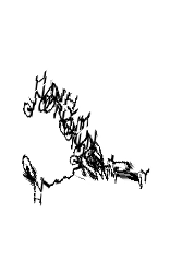 CC(=O)NCCCCCC[C@@H](C)CC(C(=O)NCC(=O)N(C)C(C)C(=O)N(C)[C@@H](CC(C)C)C(=O)NC(C(=O)N(C)CC(=O)N[C@@H](C)C(=O)N[C@H](C)C=O)C(C)C)N(C)C(=O)CN(C)C(=O)[C@H](CC(C)C)N(C)C(=O)[C@H](CC(C)C)N(C)C